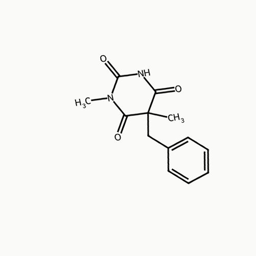 CN1C(=O)NC(=O)C(C)(Cc2ccccc2)C1=O